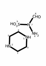 C1CNCCN1.NN(C=O)S(=O)(=O)O